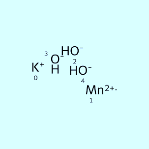 [K+].[Mn+2].[OH-].[OH-].[OH-]